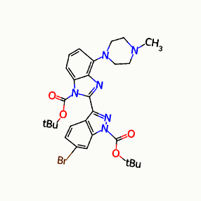 CN1CCN(c2cccc3c2nc(-c2nn(C(=O)OC(C)(C)C)c4cc(Br)ccc24)n3C(=O)OC(C)(C)C)CC1